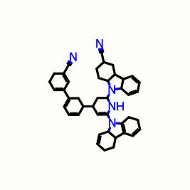 N#CC1=CC(C2=CC=CC(C3C=C(N4C5=C(C=CCC5)C5CCC=CC54)NC(N4C5C=CC=CC5C5CC(C#N)CCC54)C3)C2)=CCC1